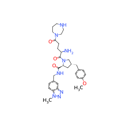 COc1ccc(C[C@@H]2C[C@@H](C(=O)NCc3ccc4c(c3)nnn4C)N(C(=O)[C@H](N)CCC(=O)N3CCCNCC3)C2)cc1